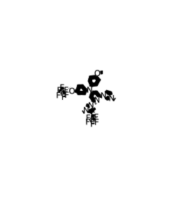 COc1ccc(N(c2ccc(OC)cc2)c2cc(-[n+]3ccn(C)c3)nc(-[n+]3ccn(C)c3)c2)cc1.F[P-](F)(F)(F)(F)F.F[P-](F)(F)(F)(F)F